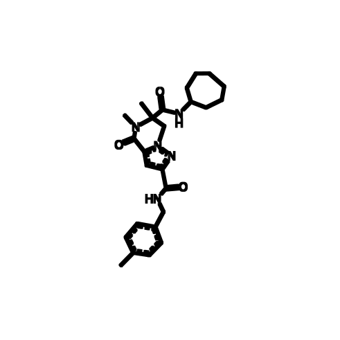 Cc1ccc(CNC(=O)c2cc3n(n2)CC(C)(C(=O)NC2CCCCCC2)N(C)C3=O)cc1